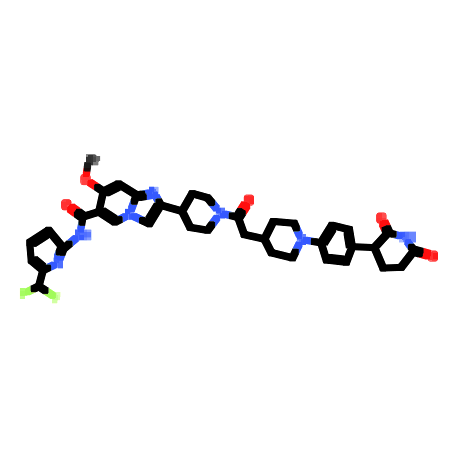 CC(C)Oc1cc2nc(C3CCN(C(=O)CC4CCN(c5ccc(C6CCC(=O)NC6=O)cc5)CC4)CC3)cn2cc1C(=O)Nc1cccc(C(F)F)n1